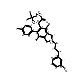 Cc1ccc(-c2c(C)c3c(c(C)c2[C@H](OC(C)(C)C)C(=O)O)CN(CCCc2cccc(F)c2)C3)cc1